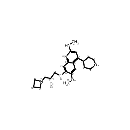 CNc1cc(C2CCOCC2)c2cc(OC)c(OC[C@H](O)CN3CCC3)cc2n1